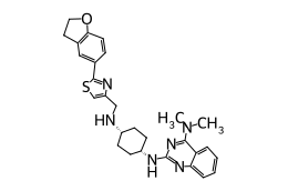 CN(C)c1nc(N[C@H]2CC[C@@H](NCc3csc(-c4ccc5c(c4)CCO5)n3)CC2)nc2ccccc12